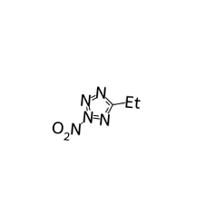 CCc1nnn([N+](=O)[O-])n1